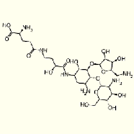 NC[C@H]1O[C@@H](O[C@@H]2C(O)[C@H](NC(=O)[C@@H](O)CCNC(=O)CC[C@H](N)C(=O)O)CC(N)[C@H]2O[C@H]2OC(CO)[C@@H](O)[C@H](O)C2N)C(O)[C@H]1O